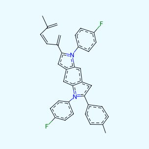 C=C(C)/C=C\C(=C)c1cc2cc3c(cc(-c4ccc(C)cc4)n3-c3ccc(F)cc3)cc2n1-c1ccc(F)cc1